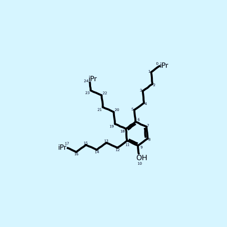 CC(C)CCCCCc1ccc(O)c(CCCCCC(C)C)c1CCCCCC(C)C